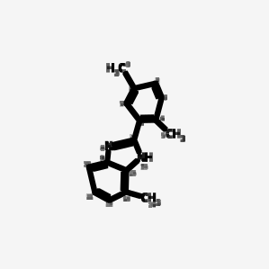 Cc1ccc(C)c(-c2nc3cccc(C)c3[nH]2)c1